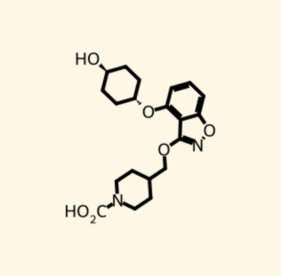 O=C(O)N1CCC(COc2noc3cccc(O[C@H]4CC[C@H](O)CC4)c23)CC1